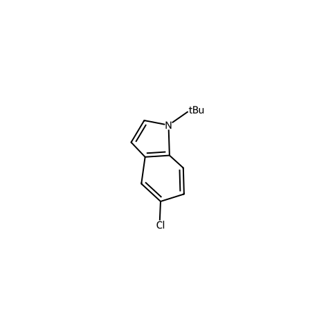 CC(C)(C)n1ccc2cc(Cl)ccc21